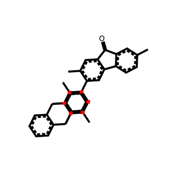 Cc1ccc2c(c1)C(=O)c1cc(C)c(-c3ccc4c(c3)C3c5ccccc5C4c4c(C)ccc(C)c43)cc1-2